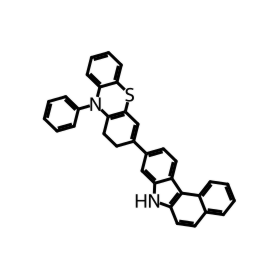 C1=C(c2ccc3c(c2)[nH]c2ccc4ccccc4c23)CCC2=C1Sc1ccccc1N2c1ccccc1